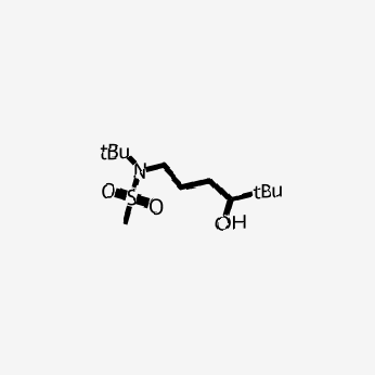 CC(C)(C)C(O)CCCN(C(C)(C)C)S(C)(=O)=O